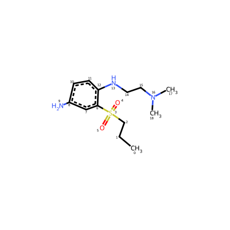 CCCS(=O)(=O)c1cc(N)ccc1NCCN(C)C